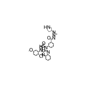 COc1ccc(Cl)c(Nc2nc3ccccc3nc2N(c2cccc(C(=O)N=[N+]=NC3CCNC3)c2)[SH](=O)=O)c1